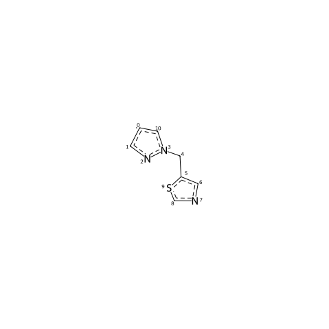 [c]1cnn(Cc2cncs2)c1